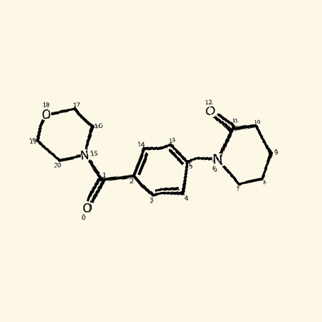 O=C(c1ccc(N2CCCCC2=O)cc1)N1CCOCC1